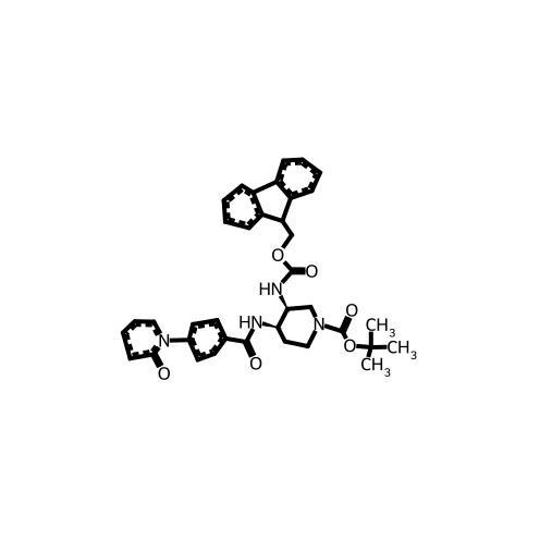 CC(C)(C)OC(=O)N1CC[C@@H](NC(=O)c2ccc(-n3ccccc3=O)cc2)[C@@H](NC(=O)OCC2c3ccccc3-c3ccccc32)C1